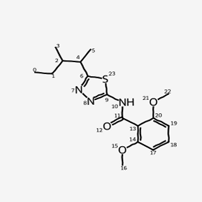 CCC(C)C(C)c1nnc(NC(=O)c2c(OC)cccc2OC)s1